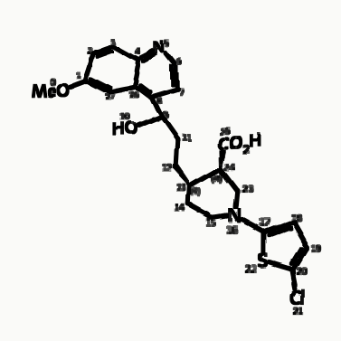 COc1ccc2nccc(C(O)CC[C@@H]3CCN(c4ccc(Cl)s4)C[C@@H]3C(=O)O)c2c1